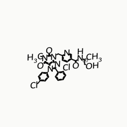 C[C@H](CO)NC(=O)c1ccc(Cn2c(=O)n(C)c(=O)c3c2nc(-c2ccccc2Cl)n3-c2ccc(Cl)cc2)nc1